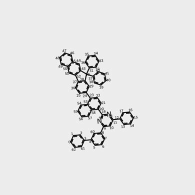 c1ccc(-c2cccc(-c3cc(-c4ccccc4)nc(-c4ccc(-c5ccc6c(c5)C(c5ccccc5)(c5ccccc5)c5cc7ccccc7cc5-6)c5ccccc45)n3)c2)cc1